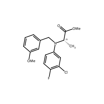 COC(=O)[C@H](C)N(Cc1cccc(OC)c1)c1ccc(F)c(Cl)c1